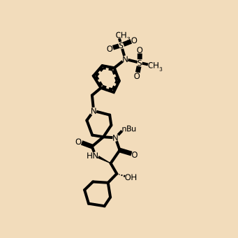 CCCCN1C(=O)[C@@H]([C@H](O)C2CCCCC2)NC(=O)C12CCN(Cc1ccc(N(S(C)(=O)=O)S(C)(=O)=O)cc1)CC2